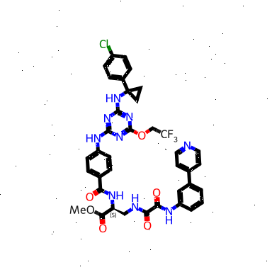 COC(=O)[C@H](CNC(=O)C(=O)Nc1cccc(-c2ccncc2)c1)NC(=O)c1ccc(Nc2nc(NC3(c4ccc(Cl)cc4)CC3)nc(OCC(F)(F)F)n2)cc1